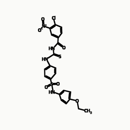 CCOc1ccc(NS(=O)(=O)c2ccc(NC(=S)NC(=O)c3ccc(Cl)c([N+](=O)[O-])c3)cc2)cc1